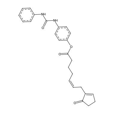 O=C(Nc1ccccc1)Nc1ccc(OC(=O)CCC/C=C\CC2=CCCC2=O)cc1